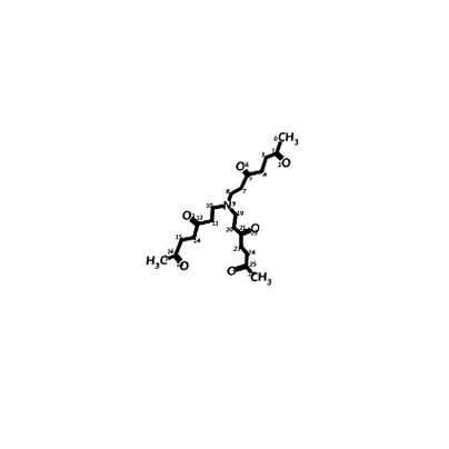 CC(=O)CCC(=O)CCN(CCC(=O)CCC(C)=O)CCC(=O)CCC(C)=O